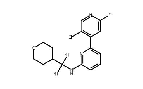 [2H]C([2H])(Nc1cccc(-c2cc(F)ncc2Cl)n1)C1CCOCC1